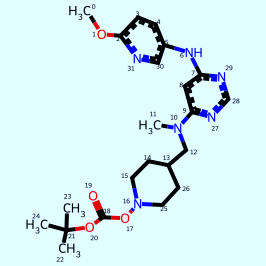 COc1ccc(Nc2cc(N(C)CC3CCN(OC(=O)OC(C)(C)C)CC3)ncn2)cn1